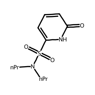 CCCN(CCC)S(=O)(=O)c1cccc(=O)[nH]1